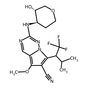 COc1c(C#N)c(C(C(C)C)C(F)(F)F)n2nc(N[C@@H]3CCOC[C@H]3O)ncc12